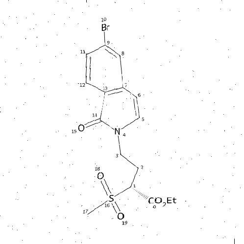 CCOC(=O)[C@@H](CCn1ccc2cc(Br)ccc2c1=O)S(C)(=O)=O